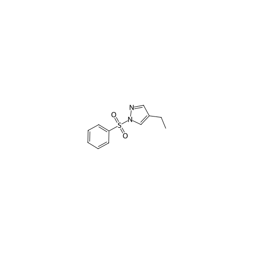 CCc1cnn(S(=O)(=O)c2ccccc2)c1